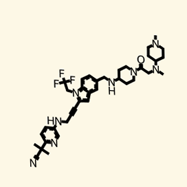 CN1CCC(N(C)CC(=O)N2CCC(NCc3ccc4c(c3)cc(C#CCNc3ccc(C(C)(C)C#N)nc3)n4CC(F)(F)F)CC2)CC1